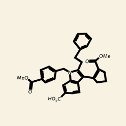 COC(=O)C1=C(c2c(CCc3ccccc3)n(Cc3ccc(C(=O)OC)cc3)c3cc(C(=O)O)ccc23)CCC1